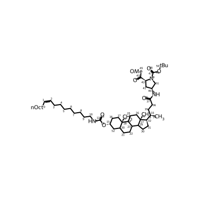 CCCCCCCC/C=C\CCCCCCCCNC(=O)O[C@@H]1CC[C@@]2(C)C(CCC3C2CC[C@@]2(C)C3CC[C@@H]2[C@H](C)CCC(=O)N[C@H]2C[C@@H](C(=O)OC)N(C(=O)OC(C)(C)C)C2)C1